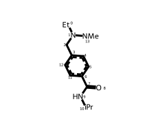 CCN(Cc1ccc(C(=O)NC(C)C)cc1)NC